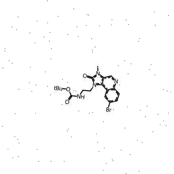 Cn1c(=O)n(CCNC(=O)OC(C)(C)C)c2c3cc(Br)ccc3ncc21